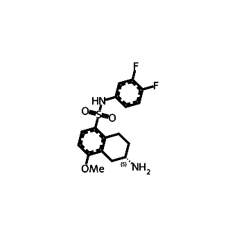 COc1ccc(S(=O)(=O)Nc2ccc(F)c(F)c2)c2c1C[C@@H](N)CC2